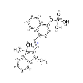 C[N+]1=C(/C=C/c2ccc(OP(=O)(O)O)c3ccccc23)C(C)(C)c2ccccc21